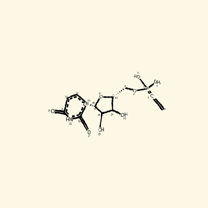 C=C=P(O)(O)OC[C@H]1O[C@@H](n2ccc(=O)[nH]c2=O)C(O)C1O